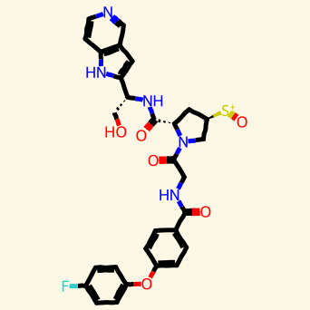 O=[S+][C@@H]1C[C@@H](C(=O)N[C@H](CO)c2cc3cnccc3[nH]2)N(C(=O)CNC(=O)c2ccc(Oc3ccc(F)cc3)cc2)C1